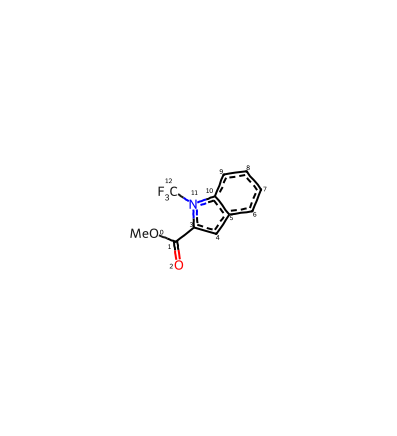 COC(=O)c1cc2ccccc2n1C(F)(F)F